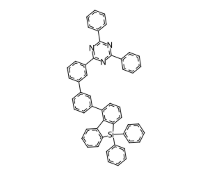 c1ccc(-c2nc(-c3ccccc3)nc(-c3cccc(-c4cccc(-c5cccc6c5-c5ccccc5[Si]6(c5ccccc5)c5ccccc5)c4)c3)n2)cc1